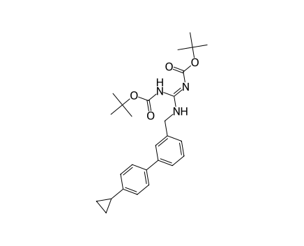 CC(C)(C)OC(=O)/N=C(/NCc1cccc(-c2ccc(C3CC3)cc2)c1)NC(=O)OC(C)(C)C